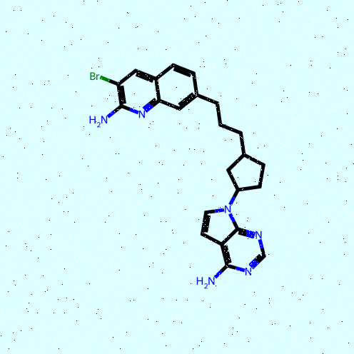 Nc1nc2cc(CCCC3CCC(n4ccc5c(N)ncnc54)C3)ccc2cc1Br